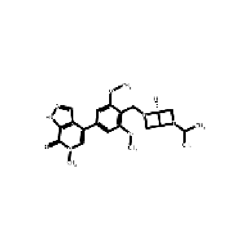 COc1cc(-c2cn(C)c(=O)c3[nH]ncc23)cc(OC)c1CN1CC2[C@@H]1CN2C(C)C